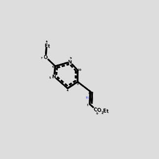 CCOC(=O)/C=C/c1cnc(OCC)nc1